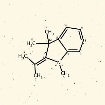 CC(C)=C1N(C)c2ccccc2C1(C)C